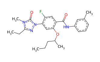 CCCC(C)Oc1cc(-n2nc(CC)n(C)c2=O)c(F)cc1C(=O)Nc1cccc(C)c1